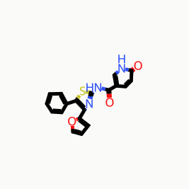 O=C(Nc1nc(-c2ccco2)c(-c2ccccc2)s1)c1ccc(=O)[nH]c1